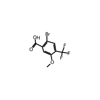 COc1cc(C(=O)O)c(Br)cc1C(F)(F)F